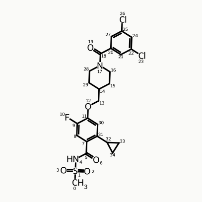 CS(=O)(=O)NC(=O)c1cc(F)c(OCC2CCN(C(=O)c3cc(Cl)cc(Cl)c3)CC2)cc1C1CC1